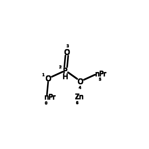 CCCO[PH](=O)OCCC.[Zn]